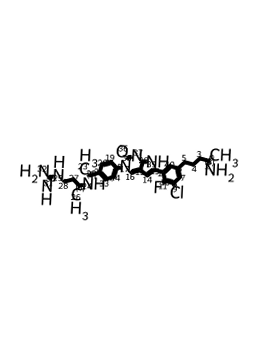 C[C@H](N)CCCc1cc(Cl)c(F)c(-c2cc3cn(-c4ccc([C@H](C)N[C@@H](C)CCNC(=N)N)cc4)c(=O)nc3[nH]2)c1